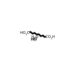 Cl.Cl.O.O=C(O)CCCCCCCCC(=O)O